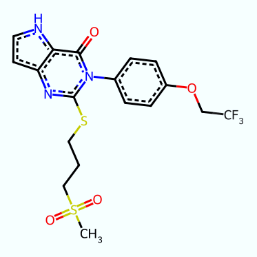 CS(=O)(=O)CCCSc1nc2cc[nH]c2c(=O)n1-c1ccc(OCC(F)(F)F)cc1